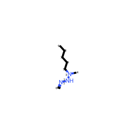 C=NNN(C)CCCCC